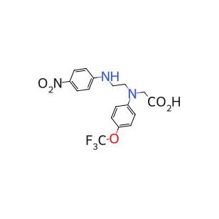 O=C(O)CN(CCNc1ccc([N+](=O)[O-])cc1)c1ccc(OC(F)(F)F)cc1